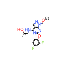 CCOCn1ncc2c(NC[C@H](C)O)nc(Oc3ccc(F)cc3F)nc21